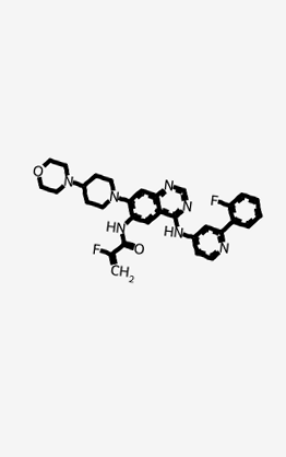 C=C(F)C(=O)Nc1cc2c(Nc3ccnc(-c4ccccc4F)c3)ncnc2cc1N1CCC(N2CCOCC2)CC1